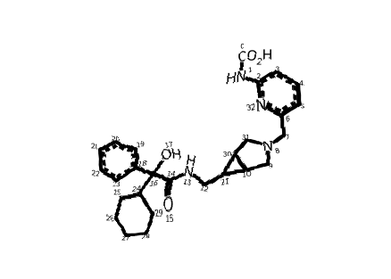 O=C(O)Nc1cccc(CN2CC3C(CNC(=O)C(O)(c4ccccc4)C4CCCCC4)C3C2)n1